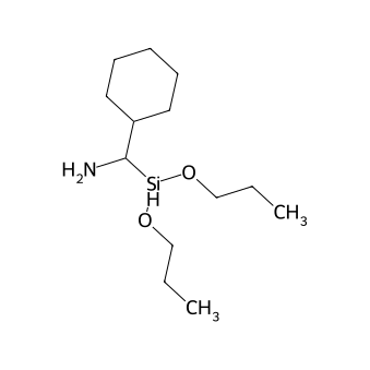 CCCO[SiH](OCCC)C(N)C1CCCCC1